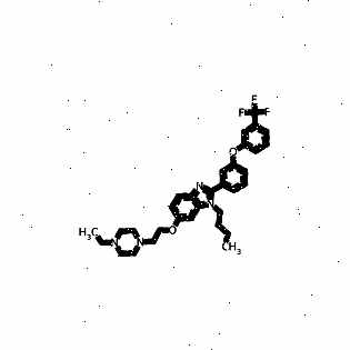 CCCCn1c(-c2cccc(Oc3cccc(C(F)(F)F)c3)c2)nc2ccc(OCCN3CCN(CC)CC3)cc21